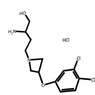 Cl.NC(CO)CCN1CC(Oc2ccc(Cl)c(Cl)c2)C1